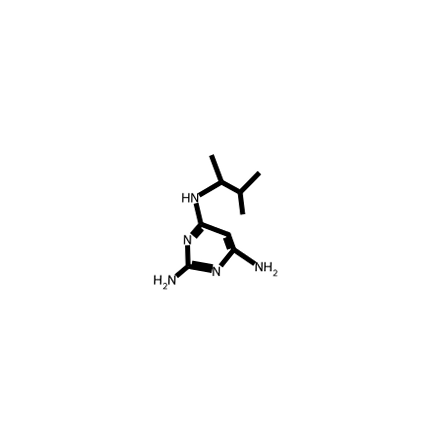 CC(C)C(C)Nc1cc(N)nc(N)n1